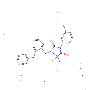 CC1(C)C(=O)N(c2cccc(Cl)c2)C(=O)N1Cc1ccccc1Cc1ccccc1